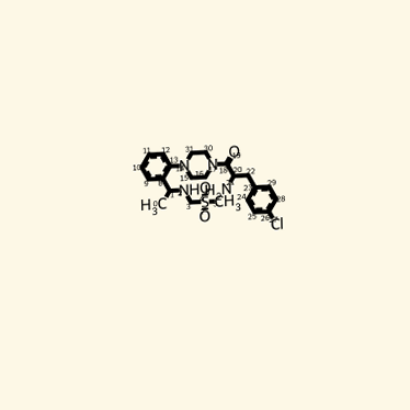 CC(NCS(C)(=O)=O)c1ccccc1N1CCN(C(=O)C(N)Cc2ccc(Cl)cc2)CC1